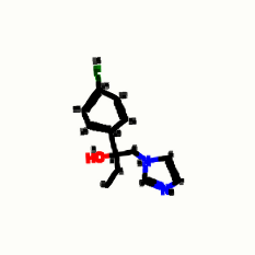 CCC(O)(Cn1ccnc1)c1ccc(F)cc1